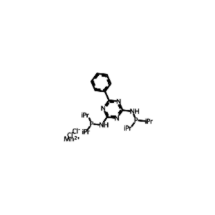 CC(C)P(Nc1nc(NP(C(C)C)C(C)C)nc(-c2ccccc2)n1)C(C)C.[Cl-].[Cl-].[Mn+2]